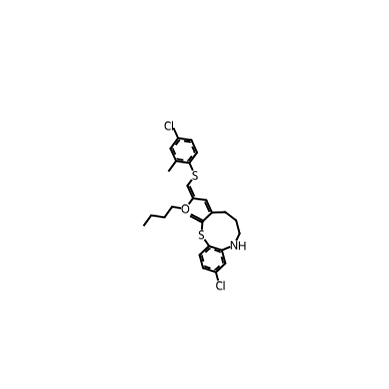 C=C1Sc2ccc(Cl)cc2NCCC/C1=C/C(=C\Sc1ccc(Cl)cc1C)OCCCC